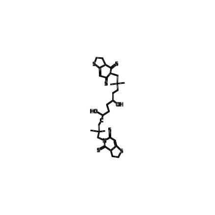 CC(C)(CCC(O)CCC(O)CCC(C)(C)CN1C(=S)C=C2SCCC2C1=S)CC1C(=S)C=C2SCCC2C1=S